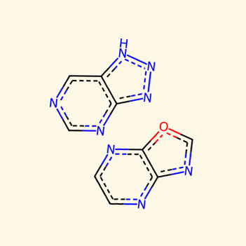 c1cnc2ocnc2n1.c1ncc2[nH]nnc2n1